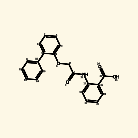 O=C(COc1ccccc1-c1ccccc1)Nc1ccccc1C(=O)O